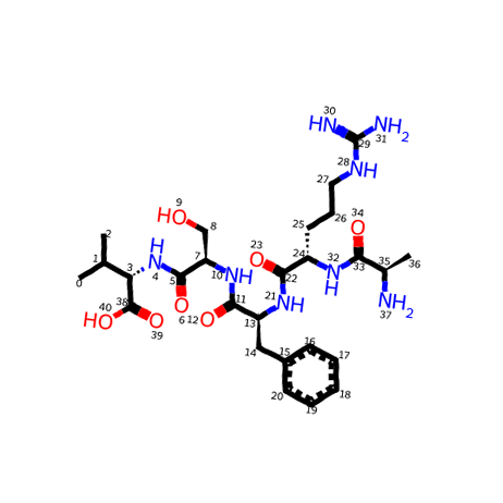 CC(C)[C@H](NC(=O)[C@@H](CO)NC(=O)[C@H](Cc1ccccc1)NC(=O)[C@H](CCCNC(=N)N)NC(=O)[C@@H](C)N)C(=O)O